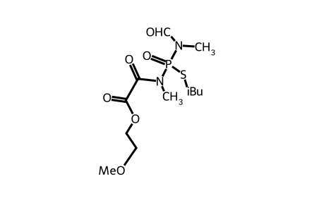 CCC(C)SP(=O)(N(C)C=O)N(C)C(=O)C(=O)OCCOC